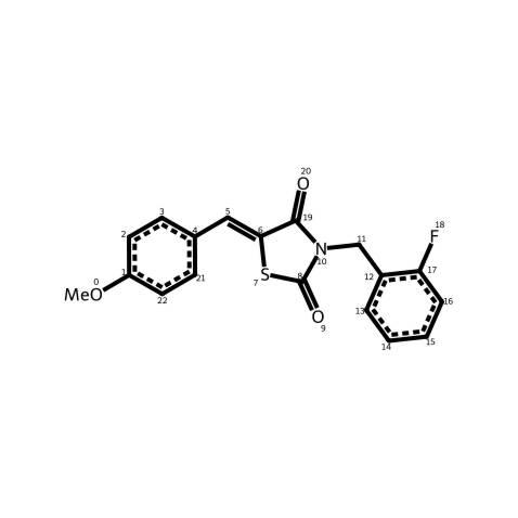 COc1ccc(/C=C2\SC(=O)N(Cc3ccccc3F)C2=O)cc1